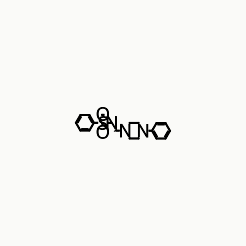 O=S(=O)(N=CN1CCN(c2ccccc2)CC1)c1ccccc1